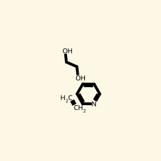 C=C.OCCO.c1ccncc1